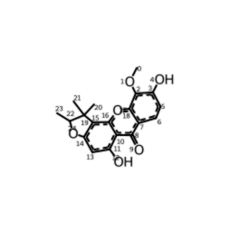 COc1c(O)ccc2c(=O)c3c(O)cc4c(c3oc12)C(C)(C)C(C)O4